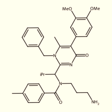 COc1ccc(-c2c(C)n(Cc3ccccc3)c(C(C(C)C)N(CCCN)C(=O)c3ccc(C)cc3)nc2=O)cc1OC